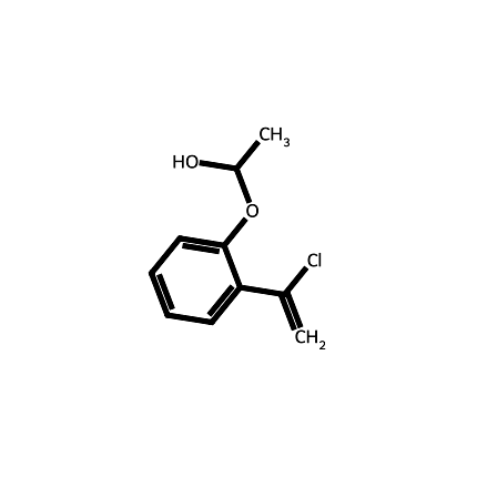 C=C(Cl)c1ccccc1OC(C)O